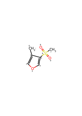 [CH2]c1cocc1S(C)(=O)=O